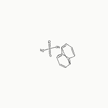 O=S(=O)(O)O.c1cc2c3cccc2c3c1